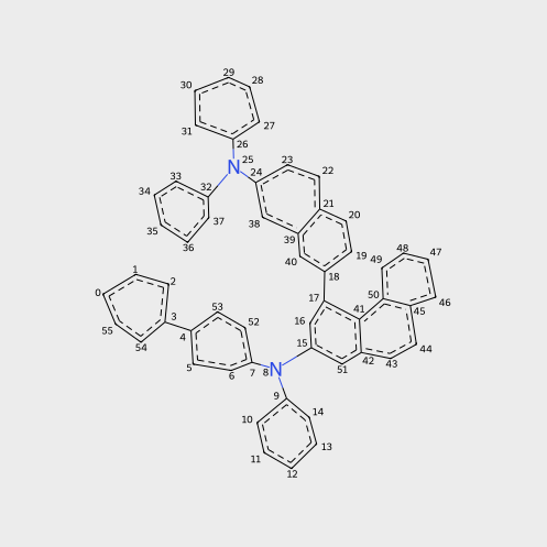 c1ccc(-c2ccc(N(c3ccccc3)c3cc(-c4ccc5ccc(N(c6ccccc6)c6ccccc6)cc5c4)c4c(ccc5ccccc54)c3)cc2)cc1